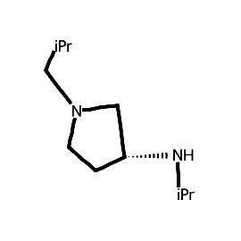 CC(C)CN1CC[C@@H](NC(C)C)C1